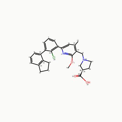 COc1nc(-c2cccc(-c3cccc4c3CCC4)c2Cl)cc(C)c1CN1CC[C@@H](C(=O)O)C1